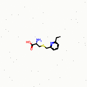 CCc1cccc(CSC[C@H](N)C(=O)O)n1